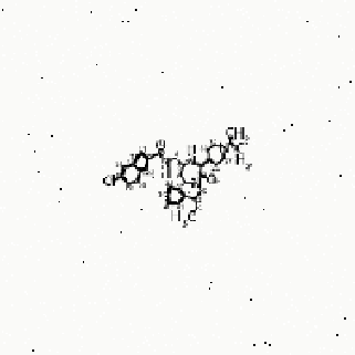 CC[C@H](CN1CC[C@@H](CNC(=O)c2ccc3cc(Cl)ccc3c2)NC(C2CCN(C(C)C)CC2)C1=O)c1ccccc1